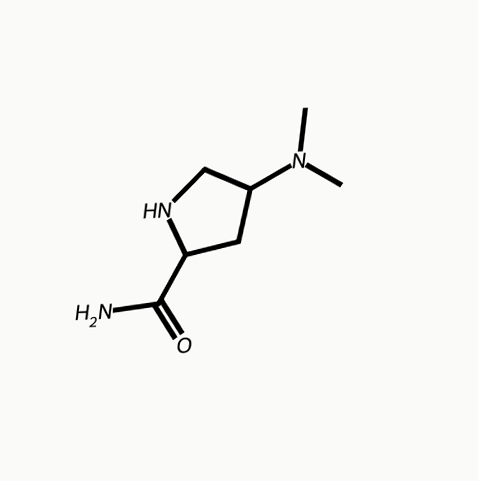 CN(C)C1CNC(C(N)=O)C1